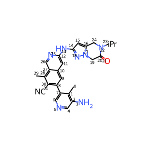 Cc1c(N)cncc1-c1cc2cc(Nc3cc4n(n3)CC(=O)N(C(C)C)C4)ncc2c(C)c1C#N